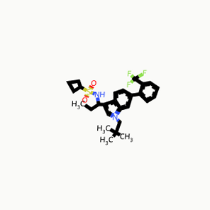 CCC(NS(=O)(=O)C1CCC1)c1cn(CC(C)(C)C)c2cc(-c3ccccc3C(F)(F)F)ccc12